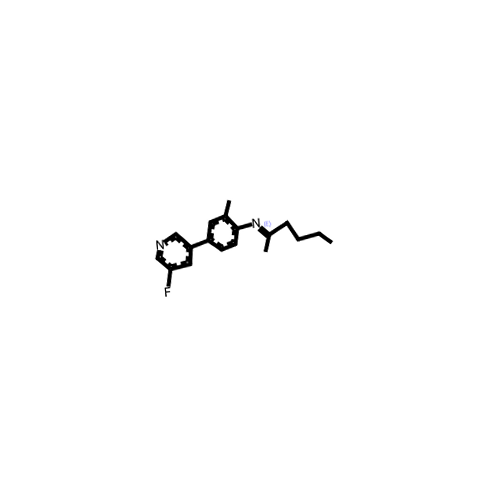 CCCC/C(C)=N/c1ccc(-c2cncc(F)c2)cc1C